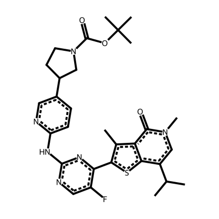 Cc1c(-c2nc(Nc3ccc(C4CCN(C(=O)OC(C)(C)C)C4)cn3)ncc2F)sc2c(C(C)C)cn(C)c(=O)c12